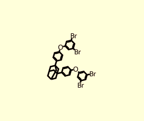 Brc1cc(Br)cc(Oc2ccc(C34CC5CC(C3)CC(c3ccc(Oc6cc(Br)cc(Br)c6)cc3)(C5)C4)cc2)c1